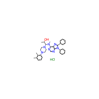 Cc1cccc(N2CCN(C(C(C)O)N(C)c3ncnc4c3nc(-c3ccccc3)n4-c3ccccc3)CC2)c1C.Cl